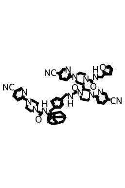 N#Cc1ccc(N2CCN(C(=O)NC3C4CC5CC(C4)C(Cc4ccc(CNC(=O)N6CCN(c7ccc(C#N)cn7)CC6C6CN(c7ccc(C#N)cn7)CCN6C(=O)NCc6ccco6)cc4)C3C5)CC2)nc1